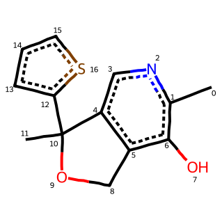 Cc1ncc2c(c1O)COC2(C)c1cccs1